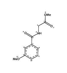 COC(=O)CNC(=O)c1cccc(OC)c1